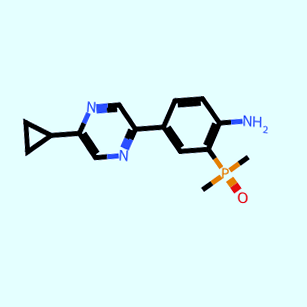 CP(C)(=O)c1cc(-c2cnc(C3CC3)cn2)ccc1N